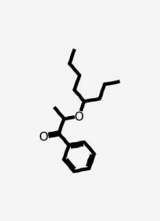 CCCCC(CCC)OC(C)C(=O)c1ccccc1